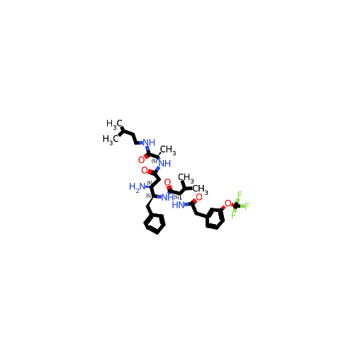 CC(C)CCNC(=O)[C@H](C)NC(=O)C[C@H](N)[C@H](Cc1ccccc1)NC(=O)[C@@H](NC(=O)Cc1cccc(OC(F)(F)F)c1)C(C)C